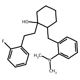 CN(C)c1ccccc1CC1CCCCC1(O)CCc1ccccc1F